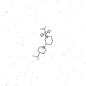 CC(C)C1CCN(C2CCCN(S(=O)(=O)C(C)C)C2)CC1